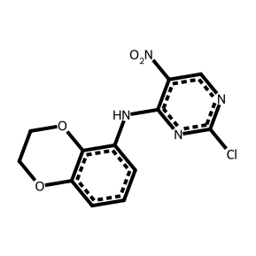 O=[N+]([O-])c1cnc(Cl)nc1Nc1cccc2c1OCCO2